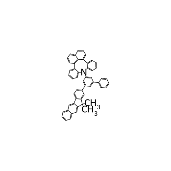 CC1(C)c2cc(-c3cc(-c4ccccc4)cc(N4c5ccccc5-c5cccc6cccc(c56)-c5ccccc54)c3)ccc2-c2cc3ccccc3cc21